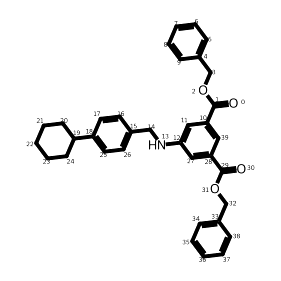 O=C(OCc1ccccc1)c1cc(NCc2ccc(C3CCCCC3)cc2)cc(C(=O)OCc2ccccc2)c1